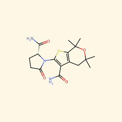 CC1(C)Cc2c(sc(N3C(=O)CC[C@@H]3C(N)=O)c2C(N)=O)C(C)(C)O1